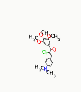 COc1cc(C(=O)C(Cl)=Cc2ccc(N(C)C)cc2)cc(OC)c1OC